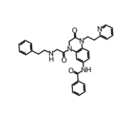 O=C(Nc1ccc2c(c1)N(C(=O)CNCCc1ccccc1)CC(=O)N2CCc1ccccn1)c1ccccc1